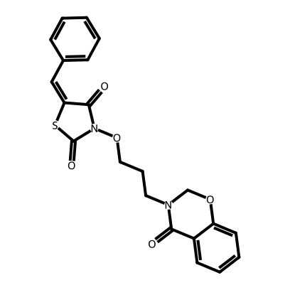 O=C1c2ccccc2OCN1CCCON1C(=O)SC(=Cc2ccccc2)C1=O